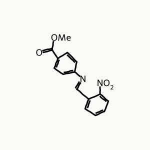 COC(=O)c1ccc(N=Cc2ccccc2[N+](=O)[O-])cc1